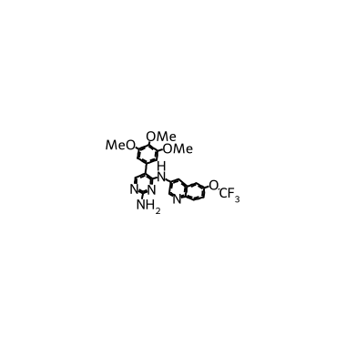 COc1cc(-c2cnc(N)nc2Nc2cnc3ccc(OC(F)(F)F)cc3c2)cc(OC)c1OC